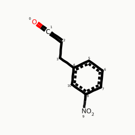 O=C=CCc1cccc([N+](=O)[O-])c1